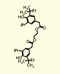 CCC(C)(C)c1cc(CC(=O)OCCOC(=O)Cc2cc(C(C)C)c(O)c(C(C)(C)CC)c2)cc(C(C)C)c1O